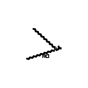 C=C(C)CN(CCCCCCCCCCCCCCCC)CCCCCCCCCCCCCCCC.Cl